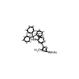 CC(=O)Nc1nc(C)c(-c2cc(NC(c3ccccc3)(c3ccccc3)c3ccccc3)c(Cl)nn2)s1